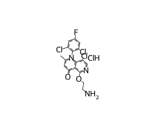 Cc1cc(=O)c2c(OCCN)ncc(Cl)c2n1-c1c(Cl)cc(F)cc1Cl.Cl